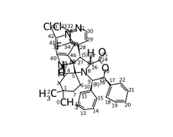 CC1(C)CCC2(CC1)N1[C@H](c3ccccc3)[C@H](c3ccccc3)OC(=O)[C@H]1[C@H](c1ccnc(Cl)c1F)[C@@]21C(=O)Nc2cc(Cl)ncc21